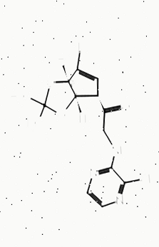 CCC1=C[C@@H](C(=O)CNc2nccnc2Cl)[C@@H]2OC(C)(C)O[C@H]12